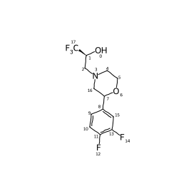 O[C@@H](CN1CCOC(c2ccc(F)c(F)c2)C1)C(F)(F)F